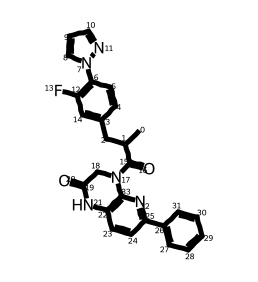 CC(Cc1ccc(-n2cccn2)c(F)c1)C(=O)N1CC(=O)Nc2ccc(-c3ccccc3)nc21